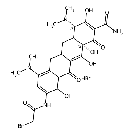 Br.CN(C)C1=C2CC3CC4[C@H](N(C)C)C(O)=C(C(N)=O)C(=O)[C@@]4(O)C(O)=C3C(=O)C2C(O)C(NC(=O)CBr)=C1